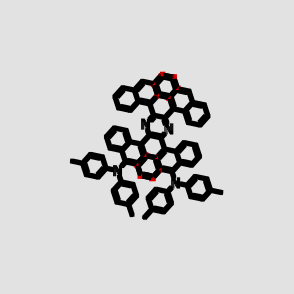 Cc1ccc(N(c2ccc(C)cc2)c2c3ccccc3c(-c3nc(-c4c5ccccc5cc5ccccc45)c(-c4c5ccccc5cc5ccccc45)nc3-c3c4ccccc4c(N(c4ccc(C)cc4)c4ccc(C)cc4)c4ccccc34)c3ccccc23)cc1